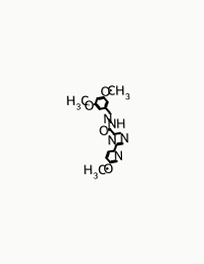 COc1ccc(-c2cncc(C(=O)NN=Cc3cc(OC)cc(OC)c3)n2)nc1